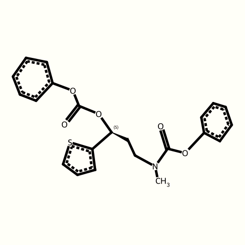 CN(CC[C@H](OC(=O)Oc1ccccc1)c1cccs1)C(=O)Oc1ccccc1